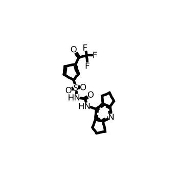 O=C(Nc1c2c(nc3c1CCC3)CCC2)NS(=O)(=O)C1C=CC(C(=O)C(F)(F)F)=C1